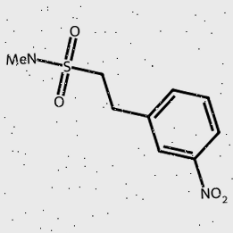 CNS(=O)(=O)CCc1cccc([N+](=O)[O-])c1